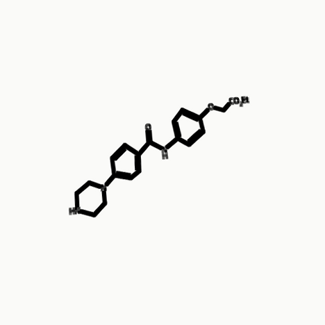 CCOC(=O)COc1ccc(NC(=O)c2ccc(N3CCNCC3)cc2)cc1